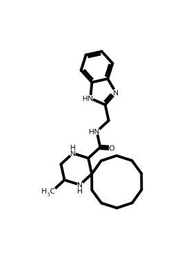 CC1CNC(C(=O)NCc2nc3ccccc3[nH]2)C2(CCCCCCCCC2)N1